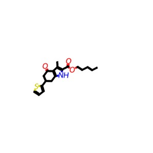 CCCCCOC(=O)c1[nH]c2c(c1C)C(=O)CC(c1cccs1)C2